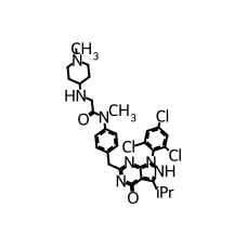 CC(C)c1[nH]n(-c2c(Cl)cc(Cl)cc2Cl)c2nc(Cc3ccc(N(C)C(=O)CNC4CCN(C)CC4)cc3)nc(=O)c1-2